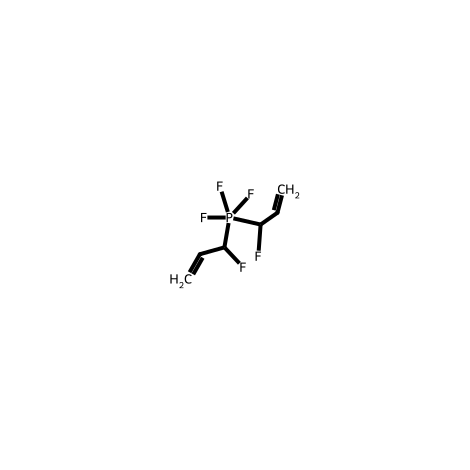 C=CC(F)P(F)(F)(F)C(F)C=C